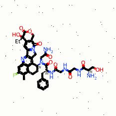 CC[C@@]1(O)C(=O)OCc2c1cc1n(c2=O)Cc2c-1nc1cc(F)c(C)c3c1c2[C@@H](N(CC(N)=O)C(=O)[C@H](Cc1ccccc1)NC(=O)CNC(=O)CNC(=O)[C@@H](N)CO)CC3